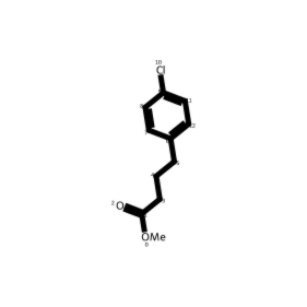 COC(=O)CCCc1ccc(Cl)cc1